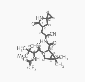 COC(C)(C)C(NC(=O)C(F)(F)F)C(=O)N1CC2C(C1C(=O)NC(C#N)CC1CC3(CC3)NC1=O)C2(C)C